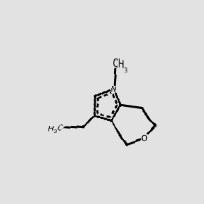 CCc1cn(C)c2c1COCC2